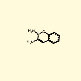 NC1=Cc2ccccc2ON1N